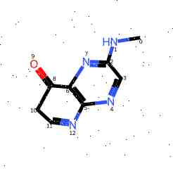 CNc1cnc2c(n1)C(=O)CC=N2